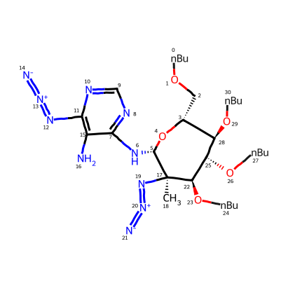 CCCCOC[C@H]1O[C@@H](Nc2ncnc(N=[N+]=[N-])c2N)[C@](C)(N=[N+]=[N-])[C@H](OCCCC)[C@@H](OCCCC)[C@@H]1OCCCC